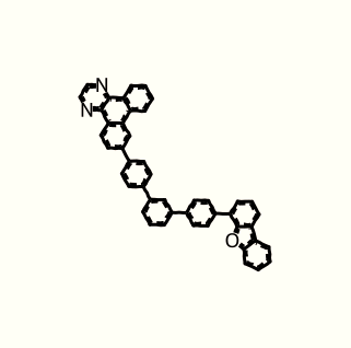 c1cc(-c2ccc(-c3ccc4c(c3)c3ccccc3c3nccnc43)cc2)cc(-c2ccc(-c3cccc4c3oc3ccccc34)cc2)c1